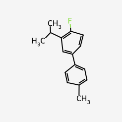 Cc1ccc(-c2ccc(F)c(C(C)C)c2)cc1